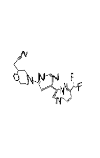 N#CCC1CN(c2cc(-c3cnc4ccc(C(F)F)nn34)ncn2)CCO1